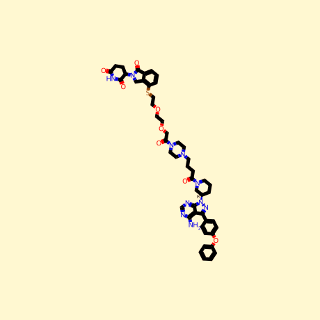 Nc1ncnc2c1c(-c1ccc(Oc3ccccc3)cc1)nn2[C@@H]1CCCN(C(=O)CCCN2CCN(C(=O)COCCOCCSc3cccc4c3CN(C3CCC(=O)NC3=O)C4=O)CC2)C1